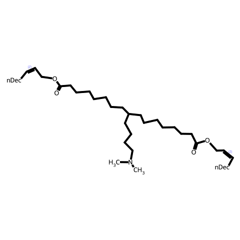 CCCCCCCCCC/C=C\COC(=O)CCCCCCCC(CCCCCCCC(=O)OC/C=C\CCCCCCCCCC)CCCCN(C)C